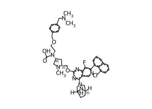 CN(C)Cc1ccc(COCCN(C(=O)O)[C@@H]2C[C@@H](COc3nc(N4C[C@H]5CC[C@@H](C4)N5)c4cnc(-c5cccc6cccc(Cl)c56)c(F)c4n3)N(C)C2)cc1